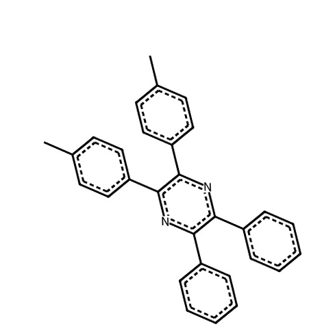 Cc1ccc(-c2nc(-c3ccccc3)c(-c3ccccc3)nc2-c2ccc(C)cc2)cc1